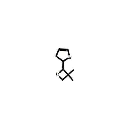 CC1(C)COC1C1CC=CS1